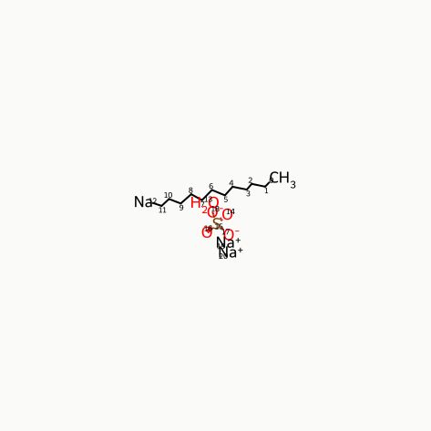 CCCCCCCCCCC[CH2][Na].O.O=S(=O)([O-])[O-].[Na+].[Na+]